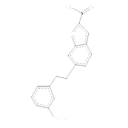 CCOC(=O)c1cccc(CCc2ccc3cc(C(=N)N)sc3c2)c1